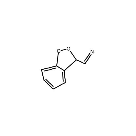 [N]=CC1OOc2ccccc21